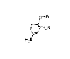 Bc1ccc(OC(C)C)c(C#N)c1